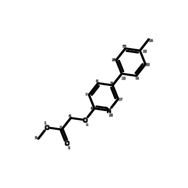 COC(=O)COc1ccc(-c2ccc(C)cc2)cn1